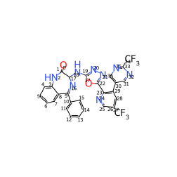 O=C1Nc2ccccc2C(c2ccccc2)=NC1Nc1nnc(-c2ncc(C(F)(F)F)cc2-c2cnc(C(F)(F)F)nc2)o1